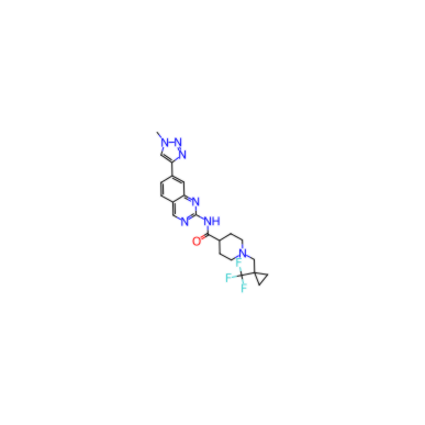 Cn1cc(-c2ccc3cnc(NC(=O)C4CCN(CC5(C(F)(F)F)CC5)CC4)nc3c2)nn1